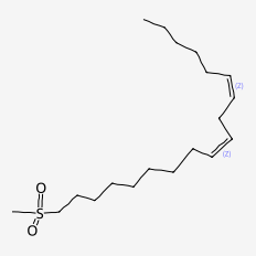 CCCCC/C=C\C/C=C\CCCCCCCCS(C)(=O)=O